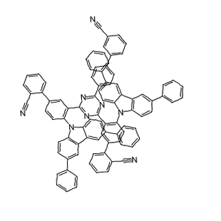 N#Cc1cccc(-c2ccc(-c3nc(-c4cc(-c5ccccc5C#N)ccc4-n4c5ccc(-c6ccccc6)cc5c5cc(-c6ccccc6)ccc54)nc(-c4cc(-c5ccccc5C#N)ccc4-n4c5ccc(-c6ccccc6)cc5c5cc(-c6ccccc6)ccc54)n3)cc2)c1